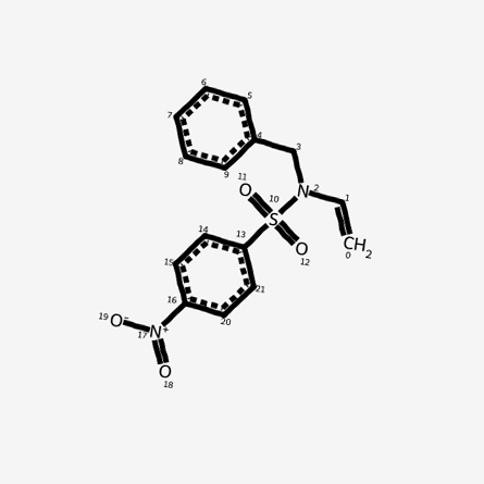 C=CN(Cc1ccccc1)S(=O)(=O)c1ccc([N+](=O)[O-])cc1